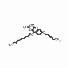 CCC=CCCOc1ccc2c(OCCCCCCCCCC)c(OC(C)C)c(=O)oc2c1